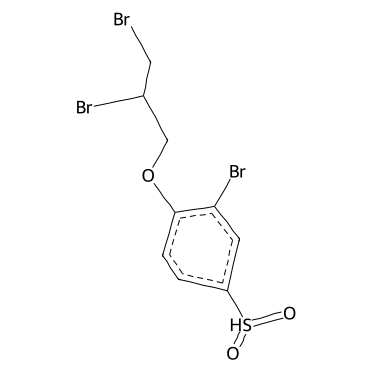 O=[SH](=O)c1ccc(OCC(Br)CBr)c(Br)c1